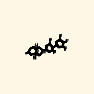 CC1CC[C@@H]2C[C@H](c3cc(F)c(-c4cc(F)c(F)c(F)c4)c(F)c3)CC[C@@H]2C1